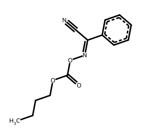 CCCCOC(=O)ON=C(C#N)c1ccccc1